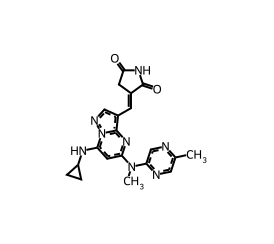 Cc1cnc(N(C)c2cc(NC3CC3)n3ncc(C=C4CC(=O)NC4=O)c3n2)cn1